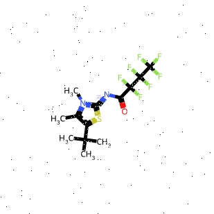 Cc1c(C(C)(C)C)s/c(=N\C(=O)C(F)(F)C(F)(F)C(F)(F)F)n1C